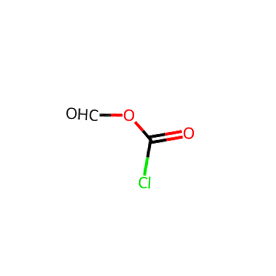 O=COC(=O)Cl